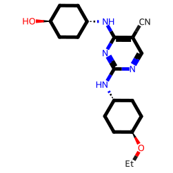 CCO[C@H]1CC[C@H](Nc2ncc(C#N)c(N[C@H]3CC[C@H](O)CC3)n2)CC1